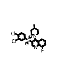 CC1CCN(c2c(S(=O)(=O)c3ccc(Cl)c(Cl)c3)cnc3c(F)cccc23)CC1